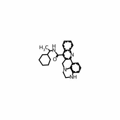 CC(NC(=O)c1c(CN2CCNCC2)c(-c2ccccc2)nc2ccccc12)C1CCCCC1